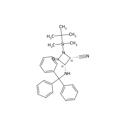 CC(C)(C)[Si](C)(C)N1C(=O)[C@@H](NC(c2ccccc2)(c2ccccc2)c2ccccc2)[C@H]1C#N